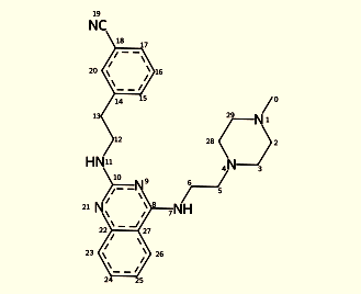 CN1CCN(CCNc2nc(NCCc3cccc(C#N)c3)nc3ccccc23)CC1